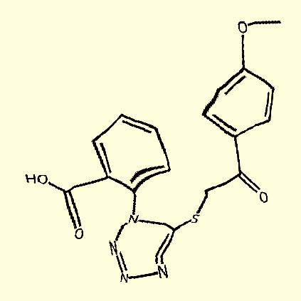 COc1ccc(C(=O)CSc2nnnn2-c2ccccc2C(=O)O)cc1